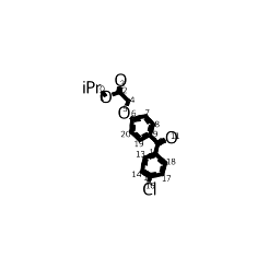 CC(C)OC(=O)COc1ccc(C(=O)c2ccc(Cl)cc2)cc1